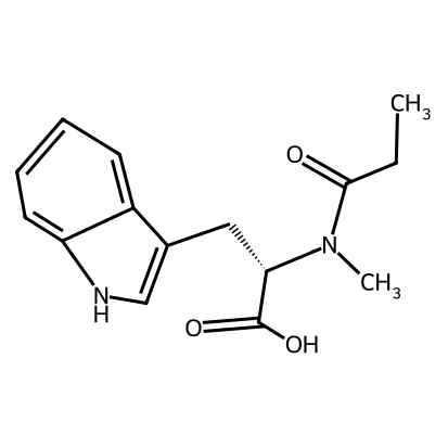 CCC(=O)N(C)[C@@H](Cc1c[nH]c2ccccc12)C(=O)O